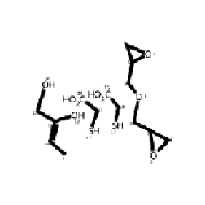 C(OCC1CO1)C1CO1.CC=C(O)CO.O=C(O)CS.O=C(O)CS